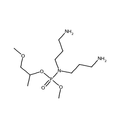 COCC(C)OP(=O)(OC)N(CCCN)CCCN